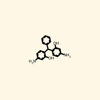 Nc1ccc(C(c2ccccc2)c2ccc(N)cc2O)c(O)c1